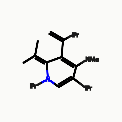 C=C(C1=C(NC)C(C(C)C)=CN(C(C)C)C1=C(C)C)C(C)C